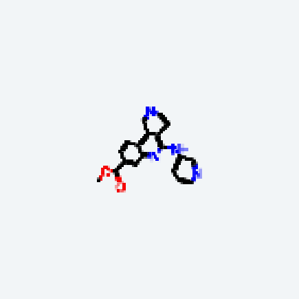 COC(=O)c1ccc2c(c1)nc(Nc1cccnc1)c1ccncc12